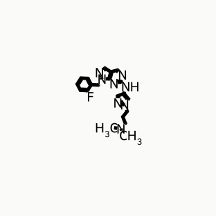 CN(C)CCCn1cc(Nc2ncc3cnn(Cc4ccccc4F)c3n2)cn1